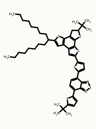 CCCCCCCCC(CCCCCCCC)c1cc2c(s1)c1c(c3sc(-c4ccc(-c5ccc(-c6ccc(C(C)(C)N)s6)c6nsnc56)s4)cc32)SC(C(C)(C)C)C1